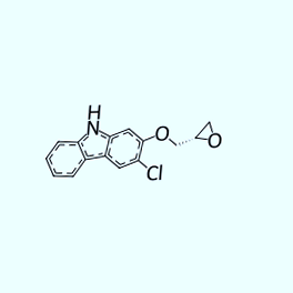 Clc1cc2c(cc1OC[C@@H]1CO1)[nH]c1ccccc12